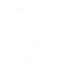 COC(=O)c1ccc(/C=C(\CCOc2cccc3ccccc23)CNc2cccc3cccnc23)cc1